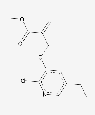 C=C(COc1cc(CC)cnc1Cl)C(=O)OC